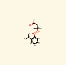 CC(=O)CC(C)(C)OOc1ccccc1C(C)C